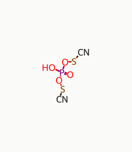 N#CSOP(=O)(O)OSC#N